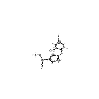 COC(=O)c1c[nH]c(Cc2ncc(F)cc2Cl)c1